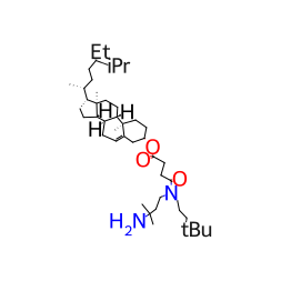 CC[C@H](CC[C@@H](C)[C@H]1CC[C@H]2[C@@H]3CC=C4C[C@@H](OC(=O)CCC(=O)N(CCCC(C)(C)C)CCC(C)(C)N)CC[C@]4(C)[C@H]3CC[C@]12C)C(C)C